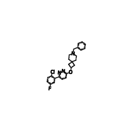 Fc1ccc(Cl)c(-c2ccc(OC3CC4(CCN(Cc5ccccc5)CC4)C3)nn2)c1